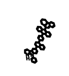 C1=CC2=C(c3c4ccccc4c(-c4ccc(-c5ccc(-c6ccc7c(c6)c6c(n7-c7ccccc7)NCC=C6)c6ccccc56)cc4)c4ccccc34)C=c3ccccc3=C(C=C1)C2